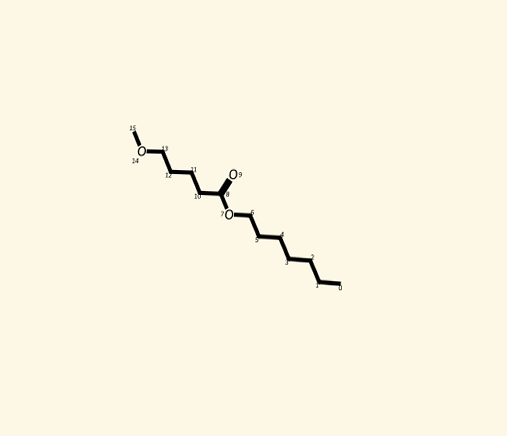 CCCCCCCOC(=O)CCCCOC